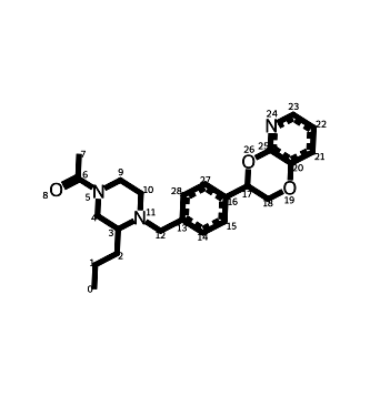 CCCC1CN(C(C)=O)CCN1Cc1ccc(C2COc3cccnc3O2)cc1